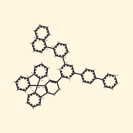 C1=C(c2nc(-c3ccc(-c4cccnc4)cc3)cc(-c3cccc(-c4cccc5ccccc45)c3)n2)CCC2=C1C1(c3ccccc32)c2ccccc2-c2ccccc21